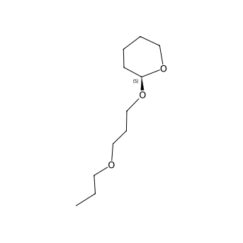 CCCOCCCO[C@H]1CCCCO1